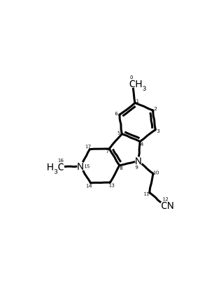 Cc1ccc2c(c1)c1c(n2CCC#N)CCN(C)C1